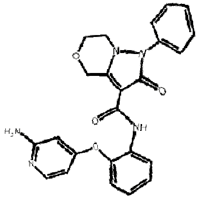 Nc1cc(Oc2ccccc2NC(=O)c2c3n(n(-c4ccccc4)c2=O)CCOC3)ccn1